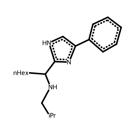 CCCCCCC(NCC(C)C)c1nc(-c2ccccc2)c[nH]1